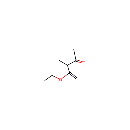 C=C(OCC)C(C)C(C)=O